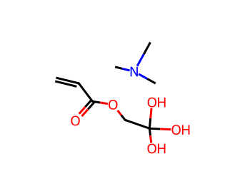 C=CC(=O)OCC(O)(O)O.CN(C)C